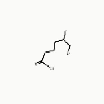 CC(CBr)CCCC(=O)Cl